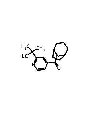 CC(C)(C)c1cc(C(=O)N2C3CCCC2CC3)ccn1